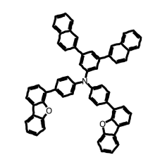 c1ccc2cc(-c3cc(-c4ccc5ccccc5c4)cc(N(c4ccc(-c5cccc6c5oc5ccccc56)cc4)c4ccc(-c5cccc6c5oc5ccccc56)cc4)c3)ccc2c1